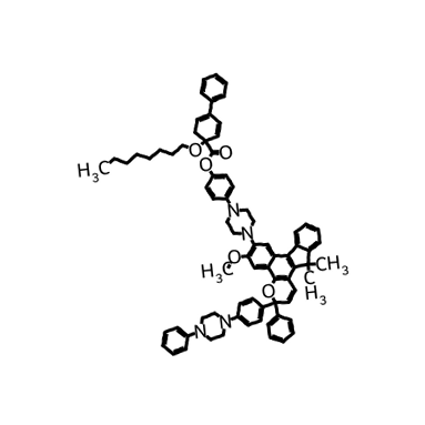 CCCCCCCCOC1(C(=O)Oc2ccc(N3CCN(c4cc5c6c(c7c(c5cc4OC)OC(c4ccccc4)(c4ccc(N5CCN(c8ccccc8)CC5)cc4)C=C7)C(C)(C)c4ccccc4-6)CC3)cc2)C=CC(c2ccccc2)=CC1